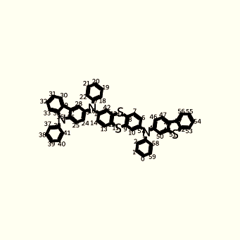 c1ccc(N(c2ccc3c(c2)Sc2ccc(N(c4ccccc4)c4ccc5c(c4)c4ccccc4n5-c4ccccc4)cc2S3)c2ccc3c(c2)sc2ccccc23)cc1